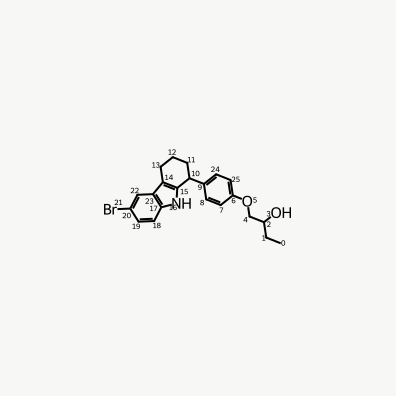 CCC(O)COc1ccc(C2CCCc3c2[nH]c2ccc(Br)cc32)cc1